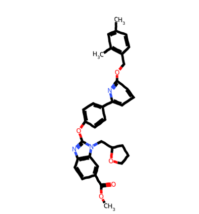 COC(=O)c1ccc2nc(Oc3ccc(-c4cccc(OCc5ccc(C)cc5C)n4)cc3)n(CC3CCCO3)c2c1